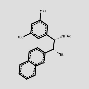 CC[C@H](c1ccc2ccccc2n1)[C@@H](NC(C)=O)c1cc(C(C)(C)C)cc(C(C)(C)C)c1